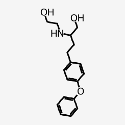 OCCNC(CO)CCc1ccc(Oc2ccccc2)cc1